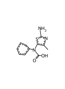 Cc1nc(N)sc1N(C(=O)O)c1ccccc1